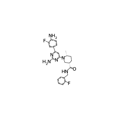 C[C@@H]1CC[C@H](C(=O)NCc2ccccc2F)CN1c1cc(-c2ccc(N)c(F)c2)nc(N)n1